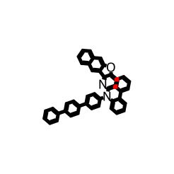 c1ccc(-c2ccc(-c3ccc(N(c4ccc5oc6cc7ccccc7cc6c5n4)c4ccccc4-c4ccccc4)cc3)cc2)cc1